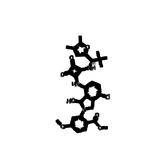 COC(=O)c1ccc(OC)cc1N1Cc2c(Cl)ccc(Nc3c(N[C@@H](c4cc(C)c(C)o4)C(C)(C)C)c(=O)c3=O)c2C1O